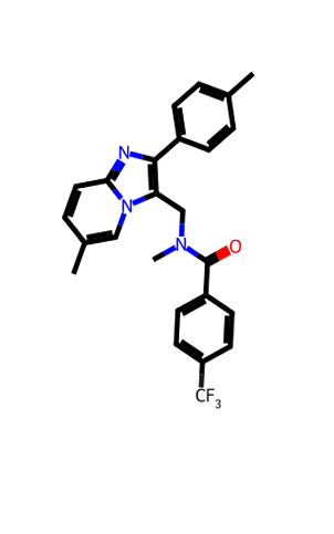 Cc1ccc(-c2nc3ccc(C)cn3c2CN(C)C(=O)c2ccc(C(F)(F)F)cc2)cc1